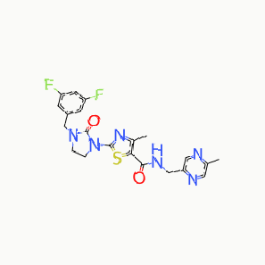 Cc1cnc(CNC(=O)c2sc(N3CCN(Cc4cc(F)cc(F)c4)C3=O)nc2C)cn1